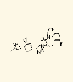 Cc1cn(-c2ccc(-c3cn([C@@H]4CCc5c(F)cccc5N(CC(F)(F)F)C4=O)nn3)cc2Cl)cn1